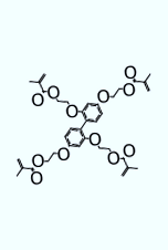 C=C(C)C(=O)OCCOc1ccc(-c2ccc(OCCOC(=O)C(=C)C)cc2OCCOC(=O)C(=C)C)c(OCCOC(=O)C(=C)C)c1